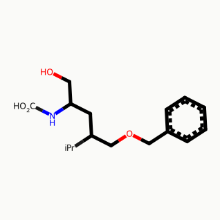 CC(C)C(COCc1ccccc1)CC(CO)NC(=O)O